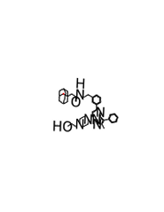 Cc1nn2c(N3CCN(CCO)CC3)cc(-c3cccc(CCNC(=O)CC45CC6CC(CC(C6)C4)C5)c3)nc2c1-c1ccccc1